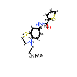 CNCCN1CCSc2cc(NC(=O)c3cccs3)ccc21